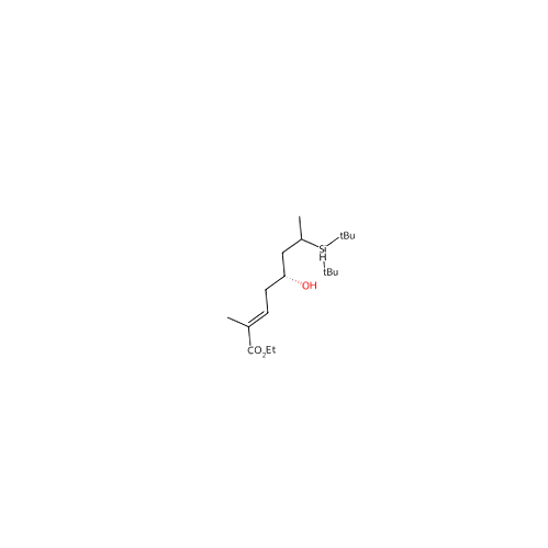 CCOC(=O)/C(C)=C/C[C@@H](O)CC(C)[SiH](C(C)(C)C)C(C)(C)C